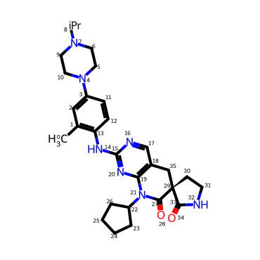 Cc1cc(N2CCN(C(C)C)CC2)ccc1Nc1ncc2c(n1)N(C1CCCC1)C(=O)[C@]1(CCNC1=O)C2